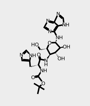 CC(C)(C)OC(=O)N[C@H](Cc1cnc[nH]1)C(=O)N[C@@H]1[C@@H](O)[C@H](O)[C@@H](Nc2ncnc3nc[nH]c23)O[C@H]1CO